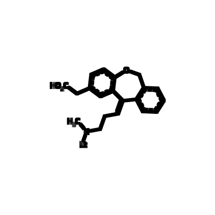 CCN(C)CC/C=C1/c2ccccc2COc2ccc(CC(=O)O)cc21